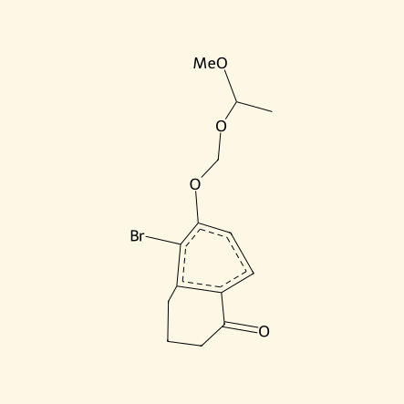 COC(C)OCOc1ccc2c(c1Br)CCCC2=O